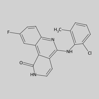 Cc1cccc(Cl)c1Nc1nc2ccc(F)cc2c2c(=O)[nH]ccc12